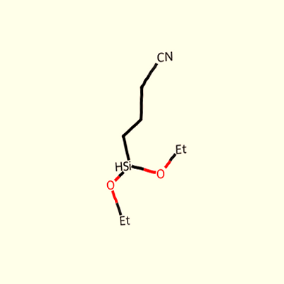 CCO[SiH](CCCC#N)OCC